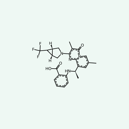 Cc1cc([C@@H](C)Nc2ccccc2C(=O)O)c2nc(N3C[C@@H]4C(C(F)(F)F)[C@@H]4C3)c(C)c(=O)n2c1